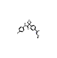 C=N/C=C(\C)c1ccc(C2(C(=O)Nc3ccc(F)cc3)COC2)cc1